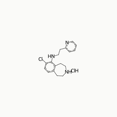 Cl.Clc1ccc2c(c1NCCc1ccccn1)CCNCC2